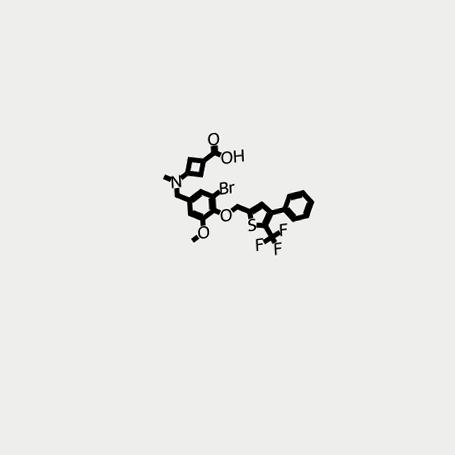 COc1cc(CN(C)C2CC(C(=O)O)C2)cc(Br)c1OCc1cc(-c2ccccc2)c(C(F)(F)F)s1